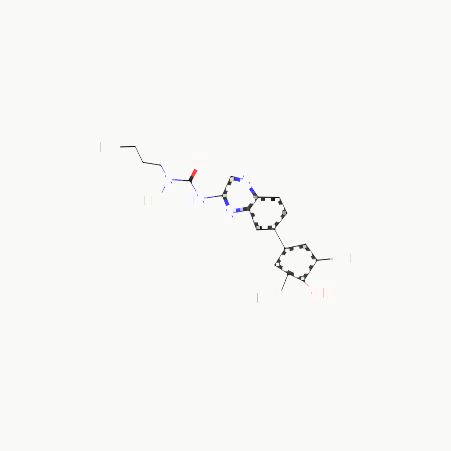 CCCCN(S)C(=O)Nc1cnc2ccc(-c3cc(C)c(O)c(C)c3)cc2n1